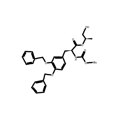 C[C@H](CO)OC(=O)[C@H](Cc1ccc(OCc2ccccc2)c(OCc2ccccc2)c1)NC(=O)OC(C)(C)C